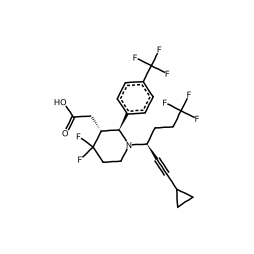 O=C(O)C[C@@H]1[C@@H](c2ccc(C(F)(F)F)cc2)N([C@H](C#CC2CC2)CCC(F)(F)F)CCC1(F)F